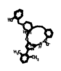 Cc1cccc(C)c1-c1cc2nc(n1)N[S+]([O-])c1cccc(c1)CCC1CCN(Cc3ccccc3O)C[C@@H]1CO2